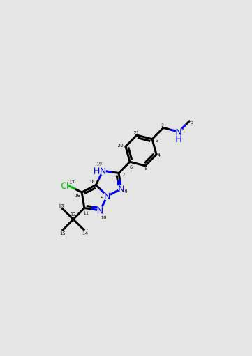 CNCc1ccc(-c2nn3nc(C(C)(C)C)c(Cl)c3[nH]2)cc1